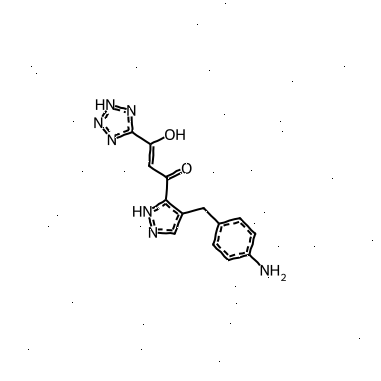 Nc1ccc(Cc2cn[nH]c2C(=O)C=C(O)c2nn[nH]n2)cc1